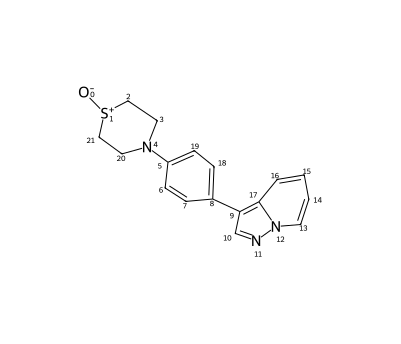 [O-][S+]1CCN(c2ccc(-c3cnn4ccccc34)cc2)CC1